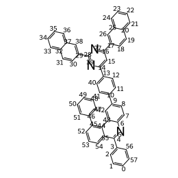 c1ccc(-c2nc3ccc(-c4ccc(-c5cc(-c6ccc7ccccc7c6)nc(-c6ccc7ccccc7c6)n5)cc4)cc3c3c(-c4ccccc4)cccc23)cc1